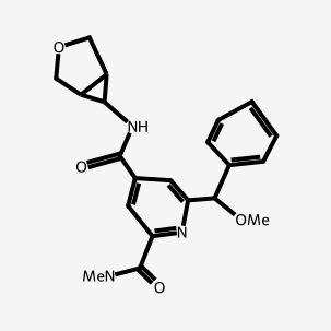 CNC(=O)c1cc(C(=O)NC2C3COCC32)cc(C(OC)c2ccccc2)n1